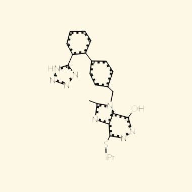 Cc1nc2c(SC(C)C)nnc(O)c2n1Cc1ccc(-c2ccccc2-c2nnn[nH]2)cc1